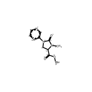 CN1C(=O)N(c2cnccn2)CC1C(=O)OC(C)(C)C